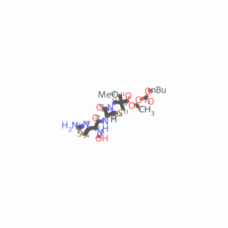 CCCCOC(=O)OC(C)OC(=O)C1(COC)CS[C@@H]2C(NC(=O)C(=NO)c3csc(N)n3)C(=O)N2C1